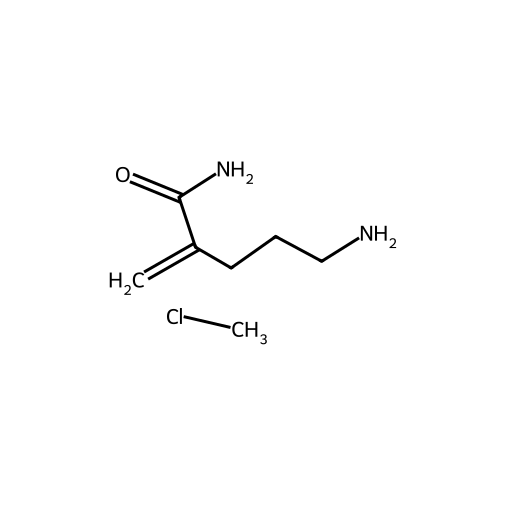 C=C(CCCN)C(N)=O.CCl